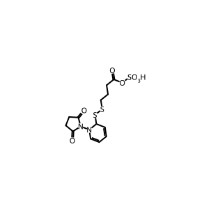 O=C(CCCSSC1C=CC=CN1N1C(=O)CCC1=O)OS(=O)(=O)O